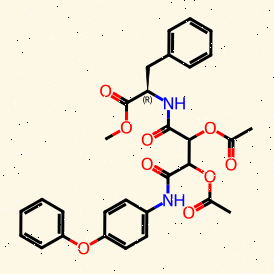 COC(=O)[C@@H](Cc1ccccc1)NC(=O)C(OC(C)=O)C(OC(C)=O)C(=O)Nc1ccc(Oc2ccccc2)cc1